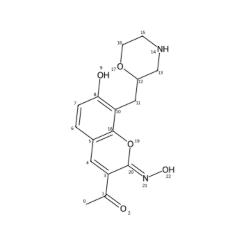 CC(=O)c1cc2ccc(O)c(CC3CNCCO3)c2oc1=NO